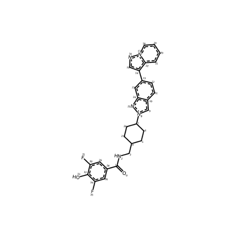 O=C(NCC1CCC(n2cc3ccc(-c4cnn5ccccc45)cc3n2)CC1)c1cc(F)c(O)c(F)c1